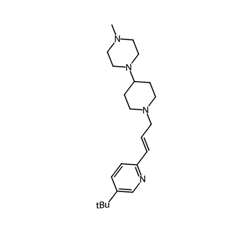 CN1CCN(C2CCN(C/C=C/c3ccc(C(C)(C)C)cn3)CC2)CC1